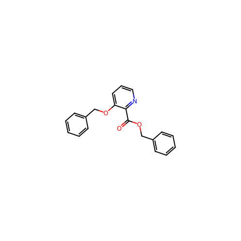 O=C(OCc1ccccc1)c1ncccc1OCc1ccccc1